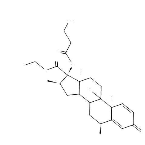 C[C@@H]1CC2C3C[C@H](F)C4=CC(=O)C=C[C@]4(C)C3(F)CC[C@]2(C)[C@@]1(OC(=O)CCO)C(=O)SCF